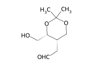 CC1(C)OC[C@H](CC=O)[C@H](CO)O1